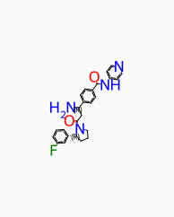 N[C@H](CC(=O)N1CCC[C@@H]1c1cccc(F)c1)c1ccc(C(=O)Nc2ccncc2)cc1